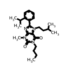 CCCCn1c(=O)c2c(nc(-c3ccccc3C(C)C)n2CCC(C)C)n(C)c1=O